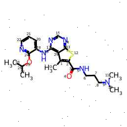 Cc1c(C(=O)NCCCN(C)C)sc2ncnc(Nc3cccnc3OC(C)C)c12